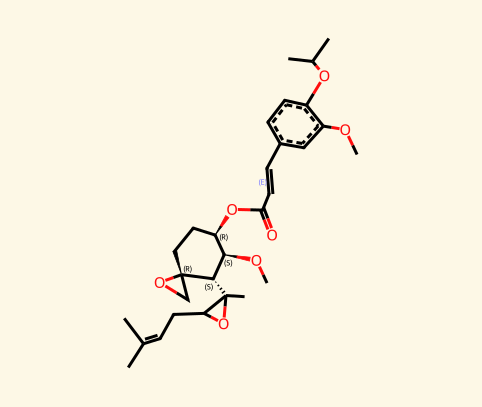 COc1cc(/C=C/C(=O)O[C@@H]2CC[C@]3(CO3)[C@@H](C3(C)OC3CC=C(C)C)[C@@H]2OC)ccc1OC(C)C